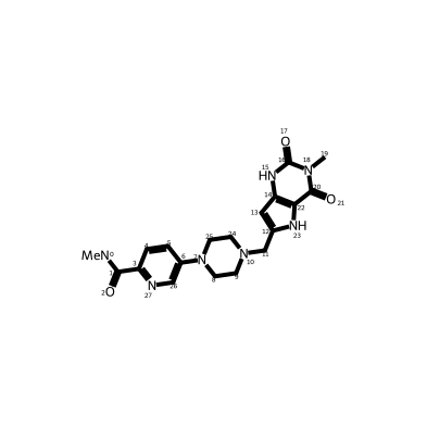 CNC(=O)c1ccc(N2CCN(Cc3cc4[nH]c(=O)n(C)c(=O)c4[nH]3)CC2)cn1